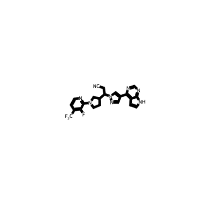 N#CCC(C1CCN(c2nccc(C(F)(F)F)c2F)C1)n1cc(-c2ncnc3[nH]ccc23)cn1